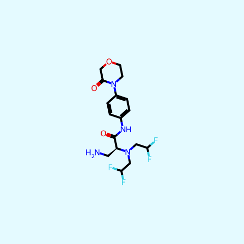 NC[C@@H](C(=O)Nc1ccc(N2CCOCC2=O)cc1)N(CC(F)F)CC(F)F